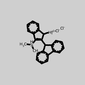 C[SiH](C)C1=C(C2c3ccccc3-c3ccccc32)[CH]([Hf+2])c2ccccc21.[Cl-].[Cl-]